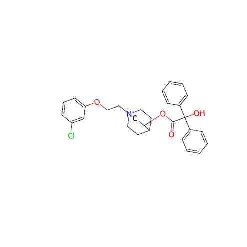 O=C(OC1C[N+]2(CCOc3cccc(Cl)c3)CCC1CC2)C(O)(c1ccccc1)c1ccccc1